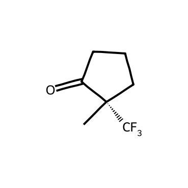 C[C@]1(C(F)(F)F)CCCC1=O